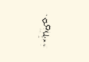 CCOc1ccc(Cc2cc([C@]34OC[C@@](C(C)OC(=O)OC(C)C)(O3)C(O)[C@H](O)[C@H]4O)ccc2Cl)cc1